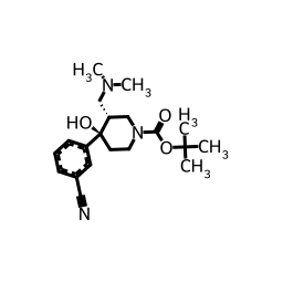 CN(C)C[C@@H]1CN(C(=O)OC(C)(C)C)CC[C@]1(O)c1cccc(C#N)c1